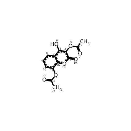 CC(=O)Oc1c(O)c2cccc(OC(C)=O)c2oc1=O